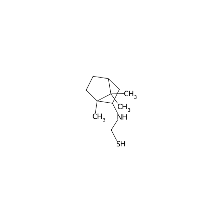 CC1(C)C2CCC1(C)C(NCS)C2